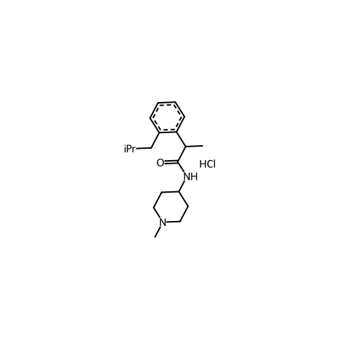 CC(C)Cc1ccccc1C(C)C(=O)NC1CCN(C)CC1.Cl